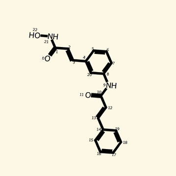 O=C(C=Cc1cccc(NC(=O)C=Cc2ccccc2)c1)NO